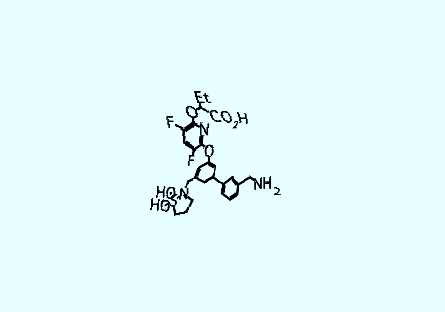 CCC(Oc1nc(Oc2cc(CN3CCCS3(O)O)cc(-c3cccc(CN)c3)c2)c(F)cc1F)C(=O)O